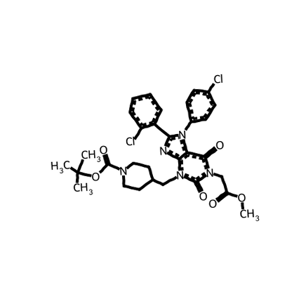 COC(=O)Cn1c(=O)c2c(nc(-c3ccccc3Cl)n2-c2ccc(Cl)cc2)n(CC2CCN(C(=O)OC(C)(C)C)CC2)c1=O